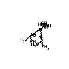 CCCCCC(CCCCC)CCOC(=O)CCCCCCCN(CCCCCCCC(=O)OCCC(CCCCC)CCCCC)CCCNC1=C(NC)C(=O)C1O